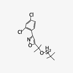 CC(C)(C)[SiH2]OC(C)(C)c1cc(-c2ccc(Cl)cc2Cl)no1